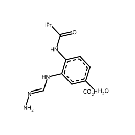 CC(C)C(=O)Nc1ccc(C(=O)O)cc1NC=NN.O